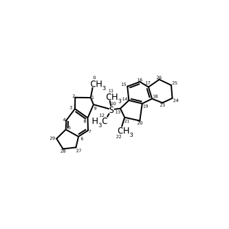 CC1Cc2cc3c(cc2C1S(C)(C)C1c2ccc4c(c2CC1C)CCCC4)CCC3